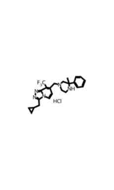 CC1(c2ccccc2)CN(Cc2ccn3c(CC4CC4)nnc3c2C(F)(F)F)CCN1.Cl